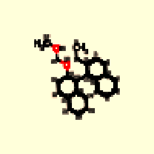 CCc1ccc2ccccc2c1-c1c(OCOC)ccc2ccccc12